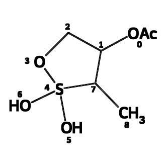 CC(=O)OC1COS(O)(O)C1C